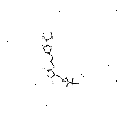 COC(=O)c1ccc(C=CC[C@@H]2[C@@H](CO[Si](C)(C)C(C)(C)C)[C@H](C)C[C@@H]2C)s1